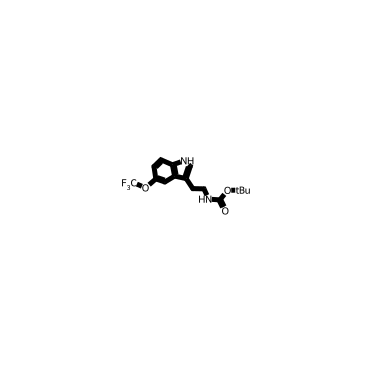 CC(C)(C)OC(=O)NCCc1c[nH]c2ccc(OC(F)(F)F)cc12